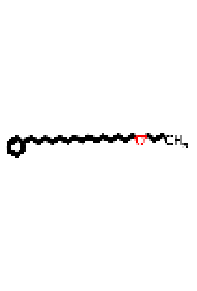 CCCCOCCCCCCCCCCCCCCCC1=CCCC=C1